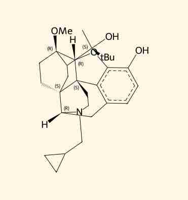 CO[C@]12CC[C@@]3(CC1[C@](C)(O)C(C)(C)C)[C@H]1Cc4ccc(O)c5c4[C@@]3(CCN1CC1CC1)[C@H]2O5